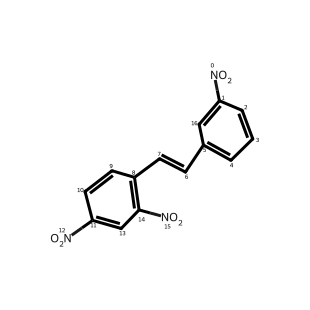 O=[N+]([O-])c1cccc(C=Cc2ccc([N+](=O)[O-])cc2[N+](=O)[O-])c1